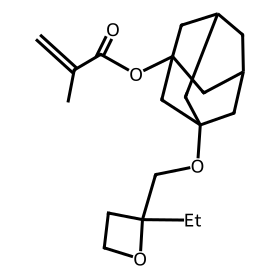 C=C(C)C(=O)OC12CC3CC(CC(OCC4(CC)CCO4)(C3)C1)C2